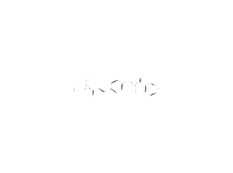 O=C(/C=C/c1ccc(CNC(=O)c2cccnc2)cc1)NO